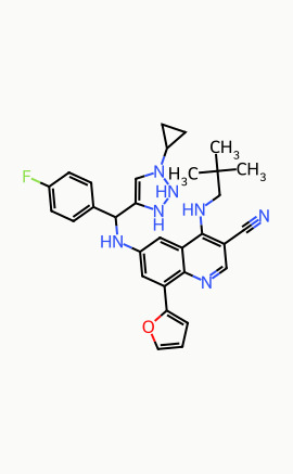 CC(C)(C)CNc1c(C#N)cnc2c(-c3ccco3)cc(NC(C3=CN(C4CC4)NN3)c3ccc(F)cc3)cc12